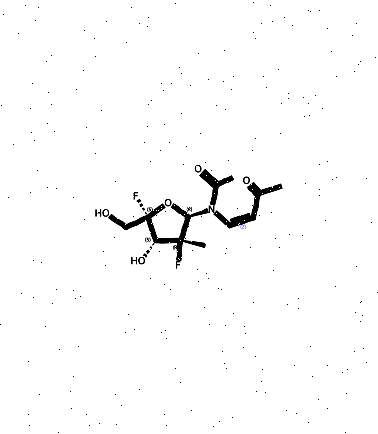 CC(=O)/C=C\N(C(C)=O)[C@@H]1O[C@](F)(CO)[C@@H](O)[C@@]1(C)F